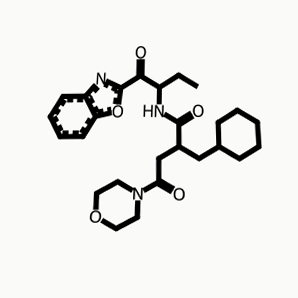 CCC(NC(=O)C(CC(=O)N1CCOCC1)CC1CCCCC1)C(=O)c1nc2ccccc2o1